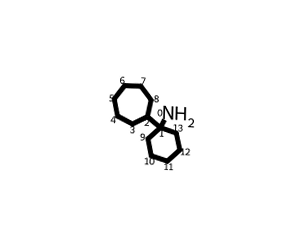 NC1(C2CCCCCC2)CCCCC1